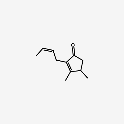 C/C=C\CC1=C(C)C(C)CC1=O